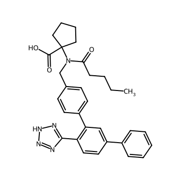 CCCCC(=O)N(Cc1ccc(-c2cc(-c3ccccc3)ccc2-c2nn[nH]n2)cc1)C1(C(=O)O)CCCC1